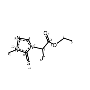 CCOC(=O)C(F)n1cnn(C)c1=S